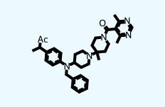 CC(=O)C(C)c1ccc(N(Cc2ccccc2)C2CCN(C3(C)CCN(C(=O)c4c(C)ncnc4C)CC3)CC2)cc1